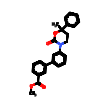 COC(=O)c1cccc(-c2cccc(N3CCC(C)(c4ccccc4)OC3=O)c2)c1